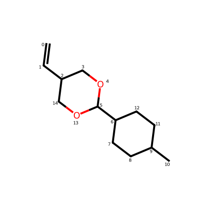 C=CC1COC(C2CCC(C)CC2)OC1